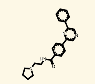 O=C(NCCN1CCCC1)c1ccc(-c2cncc(-c3ccccc3)n2)cc1